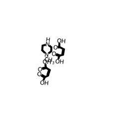 CN1CCNCC1.O=C(O)/C=C\C(=O)O.O=C(O)/C=C\C(=O)O